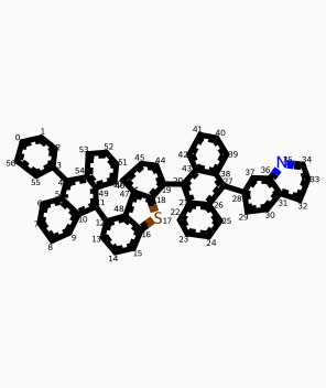 c1ccc(-c2c3ccccc3c(-c3cccc4sc5c(-c6c7ccccc7c(-c7ccc8cccnc8c7)c7ccccc67)cccc5c34)c3ccccc23)cc1